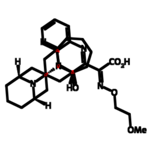 COCCO/N=C(\C(=O)O)c1nc2ccccc2n([C@H]2C[C@H]3CCC[C@@H](C2)N3C2C[C@H]3CCCC[C@@H](C2)C3)c1=O